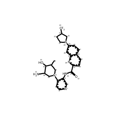 CC1CN(c2ccncc2NC(=O)c2ccc3ccc(N4CCC(C(F)(F)F)C4)cc3n2)CC(N)C1O